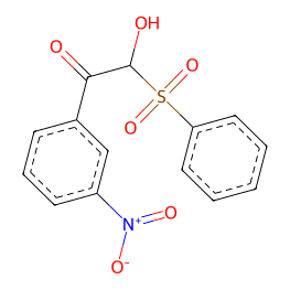 O=C(c1cccc([N+](=O)[O-])c1)C(O)S(=O)(=O)c1ccccc1